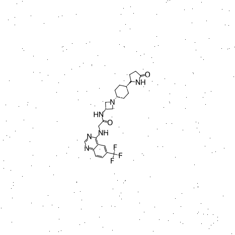 O=C(CNc1ncnc2ccc(C(F)(F)F)cc12)NC1CN([C@H]2CC[C@H](C3CCC(=O)N3)CC2)C1